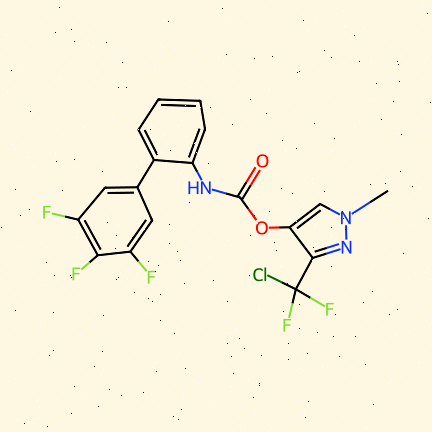 Cn1cc(OC(=O)Nc2ccccc2-c2cc(F)c(F)c(F)c2)c(C(F)(F)Cl)n1